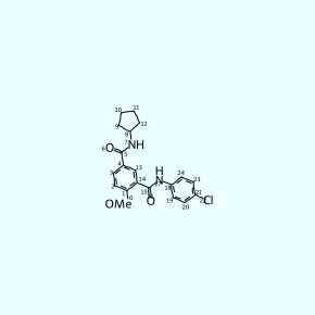 COc1ccc(C(=O)NC2CCCC2)cc1C(=O)Nc1ccc(Cl)cc1